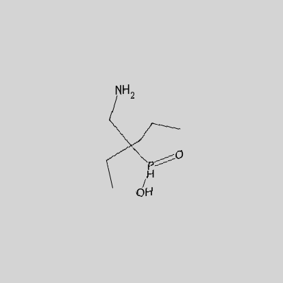 CCC(CC)(CN)[PH](=O)O